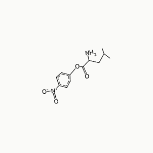 CC(C)CC(N)C(=O)Oc1ccc([N+](=O)[O-])cc1